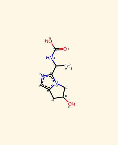 CC(NC(=O)O)c1ncc2n1CC(O)C2